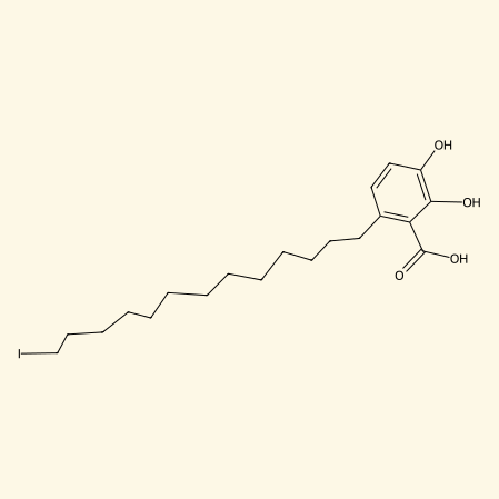 O=C(O)c1c(CCCCCCCCCCCCCI)ccc(O)c1O